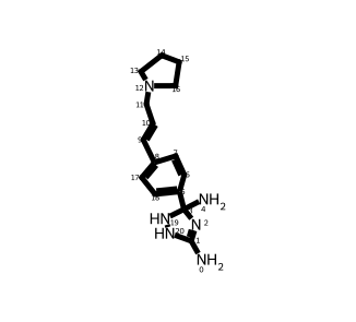 NC1=NC(N)(c2ccc(C=CCN3CCCC3)cc2)NN1